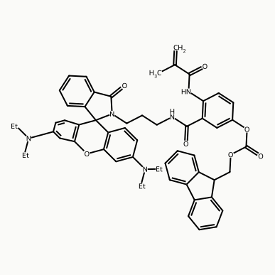 C=C(C)C(=O)Nc1ccc(OC(=O)OCC2c3ccccc3-c3ccccc32)cc1C(=O)NCCCN1C(=O)c2ccccc2C12c1ccc(N(CC)CC)cc1Oc1cc(N(CC)CC)ccc12